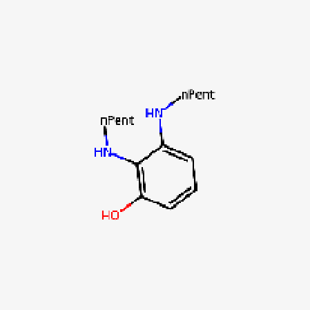 CCCCCNc1cccc(O)c1NCCCCC